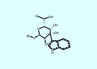 OC(Cl)[C@H]1O[C@H](OBr)[C@H](O)[C@](O)(c2c[nH]c3ccccc23)[C@H]1O